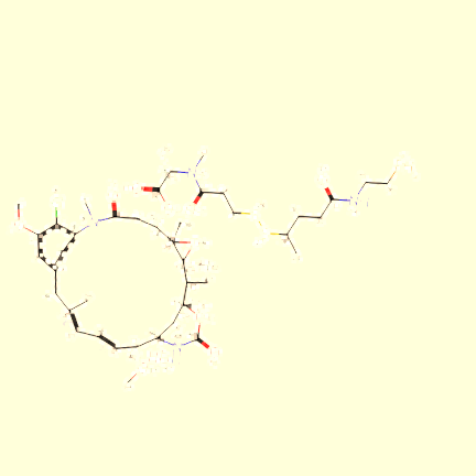 COc1cc2cc(c1Cl)N(C)C(=O)C[C@H](OC(=O)[C@H](C)N(C)C(=O)CCSSC(C)CCC(=O)NCCP)[C@]1(C)O[C@H]1C(C)[C@@H]1C[C@@](O)(NC(=O)O1)[C@H](OC)/C=C/C=C(\C)C2